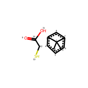 CC1(C)c2cccc1c2.O=C(O)CS